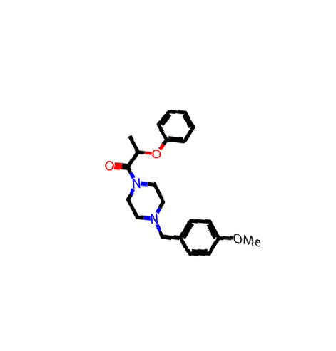 COc1ccc(CN2CCN(C(=O)C(C)Oc3ccccc3)CC2)cc1